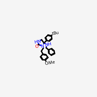 COc1ccc(CCN2C(=O)NCC2(NCc2ccccc2)c2ccc(C(C)(C)C)cc2)cc1